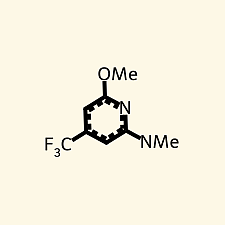 CNc1cc(C(F)(F)F)cc(OC)n1